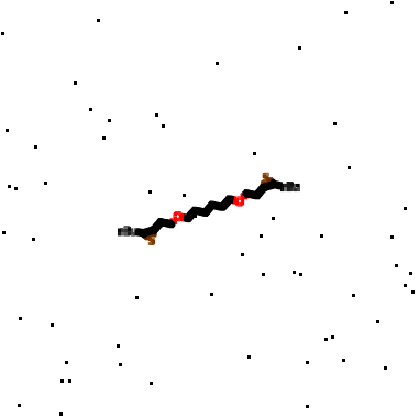 CCCCC1SC1CCOCCCCCCOCCC1SC1CCCC